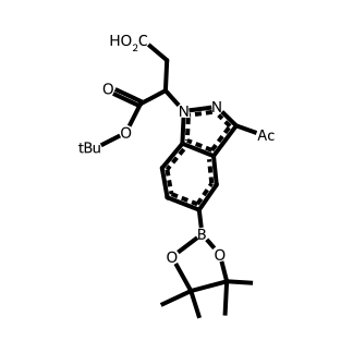 CC(=O)c1nn(C(CC(=O)O)C(=O)OC(C)(C)C)c2ccc(B3OC(C)(C)C(C)(C)O3)cc12